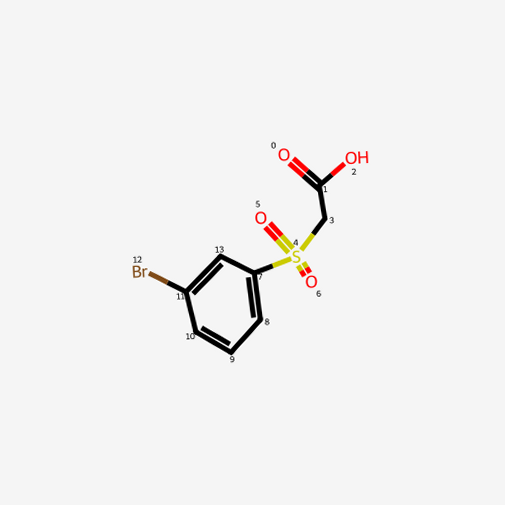 O=C(O)CS(=O)(=O)c1cccc(Br)c1